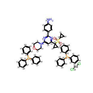 Nc1ccc(-c2nc(N3CCOCC3)cc(C3(S(=O)(=O)C4CC4)CC3)n2)cc1.[Cl][Pd][Cl].c1ccc(P(c2ccccc2)c2ccccc2)cc1.c1ccc(P(c2ccccc2)c2ccccc2)cc1